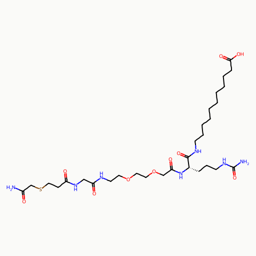 NC(=O)CSCCC(=O)NCC(=O)NCCOCCOCC(=O)N[C@@H](CCCNC(N)=O)C(=O)NCCCCCCCCCCC(=O)O